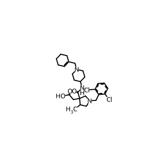 CC1CN(Cc2c(Cl)cccc2Cl)CC1(CC(=O)O)C(=O)NC1CCN(CC2=CCCCC2)CC1